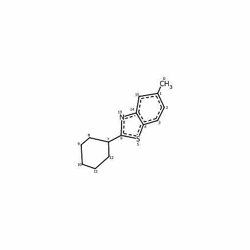 Cc1ccc2sc(C3CCCCC3)nc2c1